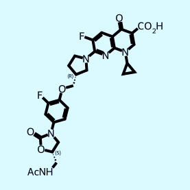 CC(=O)NC[C@H]1CN(c2ccc(OC[C@@H]3CCN(c4nc5c(cc4F)c(=O)c(C(=O)O)cn5C4CC4)C3)c(F)c2)C(=O)O1